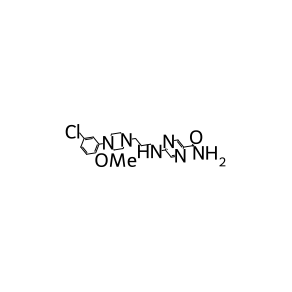 COc1ccc(Cl)cc1N1CCN(CCCNc2cnc(C(N)=O)cn2)CC1